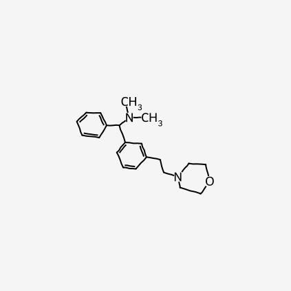 CN(C)C(c1ccccc1)c1cccc(CCN2CCOCC2)c1